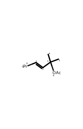 C[C](C)C=CC(C)(C)OC(C)=O